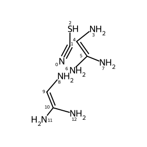 N#CS.NC=C(N)N.NC=C(N)N